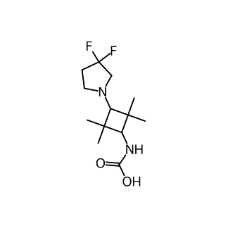 CC1(C)C(NC(=O)O)C(C)(C)C1N1CCC(F)(F)C1